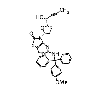 CC#CC(O)[C@H]1O[C@@H](n2c(=O)sc3cnc(NC(c4ccccc4)(c4ccccc4)c4ccc(OC)cc4)nc32)CS1